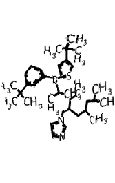 CC(C)B(c1cccc(C(C)(C)C)c1)c1cc(C(C)(C)C)cs1.CCC(CC(C)CC(C)C)Cn1ccnc1